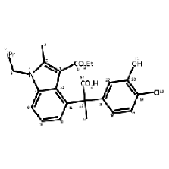 CCOC(=O)c1c(C)n(CC(C)C)c2cccc(C(C)(C(=O)O)c3ccc(Cl)c(O)c3)c12